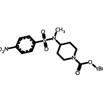 CN(C1CCN(C(=O)OC(C)(C)C)CC1)S(=O)(=O)c1ccc([N+](=O)[O-])cc1